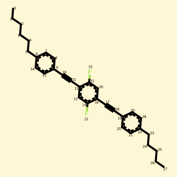 CCCCCCc1ccc(C#Cc2cc(F)c(C#Cc3ccc(CCCCC)cc3)cc2F)cc1